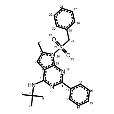 Cc1cc2c(NC(C)(C)C)nc(-c3ccccc3)nc2n1S(=O)(=O)Cc1ccccc1